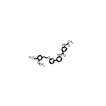 COc1ccc(CCOc2cccc(-c3cccc(NC(=O)c4ccc(NC(C)=O)cc4)c3)n2)cc1OC